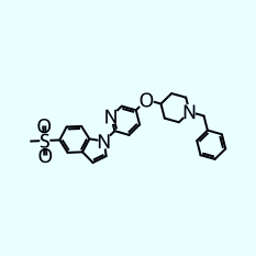 CS(=O)(=O)c1ccc2c(ccn2-c2ccc(OC3CCN(Cc4ccccc4)CC3)cn2)c1